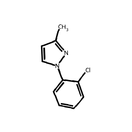 Cc1ccn(-c2ccccc2Cl)n1